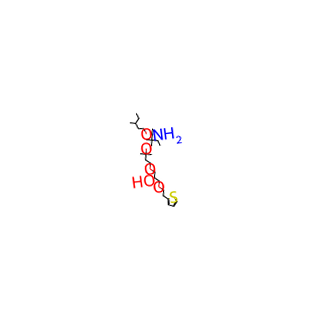 CCC(C)CCOC(C)(N)C(C)(CC)COC(C)(C)CCOCC(O)COCCc1cccs1